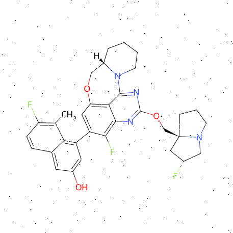 Cc1c(F)ccc2cc(O)cc(-c3cc4c5c(nc(OC[C@@]67CCCN6C[C@H](F)C7)nc5c3F)N3CCCC[C@H]3CO4)c12